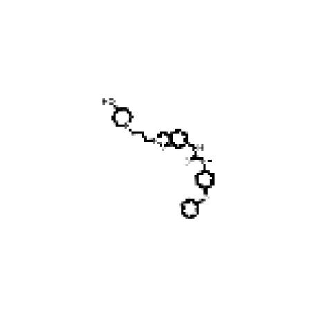 O=C(Nc1ccc(Oc2ccccc2)cc1)Nc1ccc2cn(CCCN3CCC(O)CC3)nc2c1